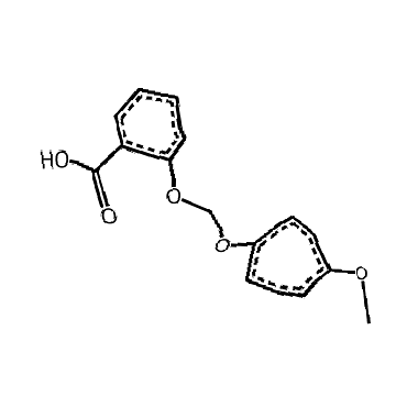 COc1ccc(OCOc2ccccc2C(=O)O)cc1